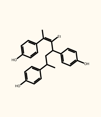 CCC(=C(C)c1ccc(O)cc1)C(CC(C)c1ccc(O)cc1)c1ccc(O)cc1